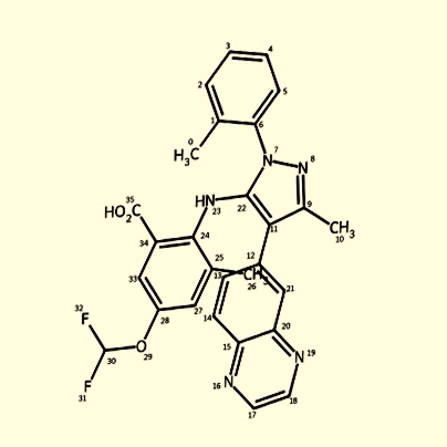 Cc1ccccc1-n1nc(C)c(-c2ccc3nccnc3c2)c1Nc1c(C)cc(OC(F)F)cc1C(=O)O